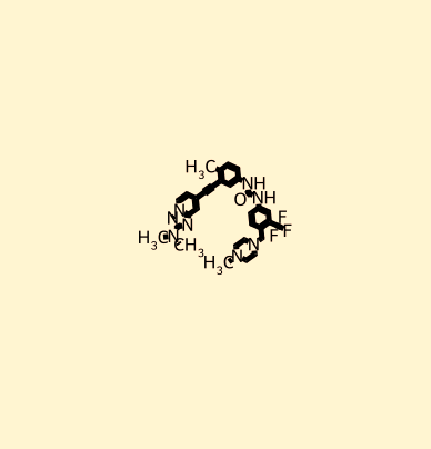 Cc1ccc(NC(=O)Nc2ccc(CN3CCN(C)CC3)c(C(F)(F)F)c2)cc1C#Cc1ccn2nc(N(C)C)nc2c1